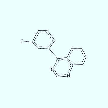 Fc1cccc(-c2ncnc3ccccc23)c1